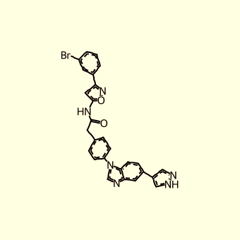 O=C(Cc1ccc(-n2cnc3cc(-c4cn[nH]c4)ccc32)cc1)Nc1cc(-c2cccc(Br)c2)no1